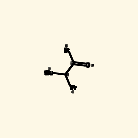 CCC(=O)C(C(C)C)C(C)(C)C